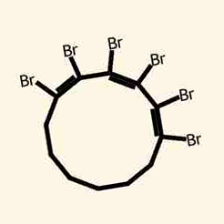 BrC1=C(Br)C(Br)=C(Br)C(Br)=C(Br)CCCCCC1